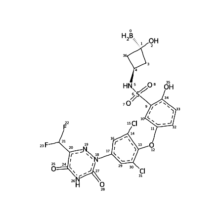 B[C@]1(O)C[C@@H](NS(=O)(=O)c2cc(Oc3c(Cl)cc(-n4nc(C(F)F)c(=O)[nH]c4=O)cc3Cl)ccc2O)C1